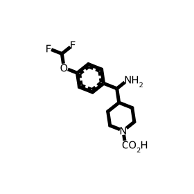 NC(c1ccc(OC(F)F)cc1)C1CCN(C(=O)O)CC1